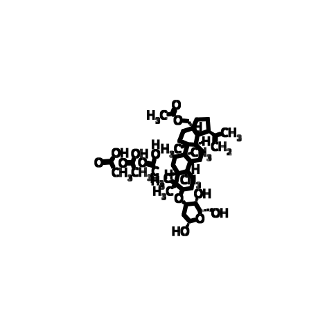 C=C(C)[C@@H]1CC[C@]2(COC(C)=O)CC[C@]3(C)[C@H](CC[C@@H]4[C@@]5(C)CCC(O[C@@H]6C[C@@H](O)O[C@@H](CO)[C@H]6O)C(C)(C)[C@@H]5CC[C@]43C)[C@@H]12.CC(=O)O.CC(=O)O.CC(=O)O